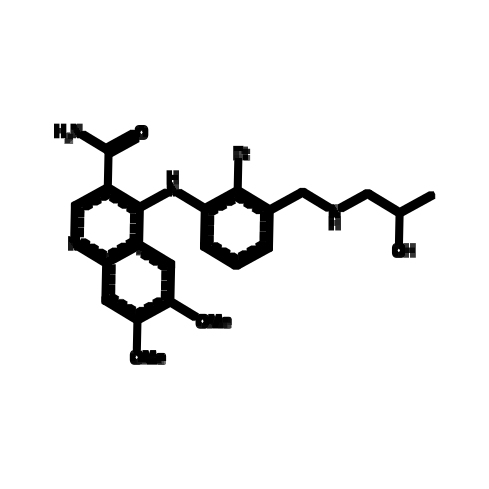 CCc1c(CNCC(C)O)cccc1Nc1c(C(N)=O)cnc2cc(OC)c(OC)cc12